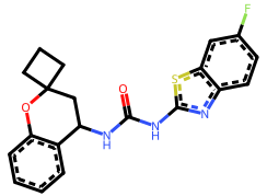 O=C(Nc1nc2ccc(F)cc2s1)NC1CC2(CCC2)Oc2ccccc21